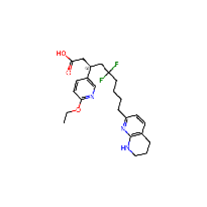 CCOc1ccc([C@@H](CC(=O)O)CC(F)(F)CCCCc2ccc3c(n2)NCCC3)cn1